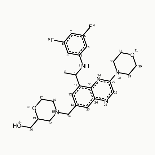 CC(Nc1cc(F)cc(F)c1)c1cc(CN2CCOC(CO)C2)cc2ncc(N3CCOCC3)nc12